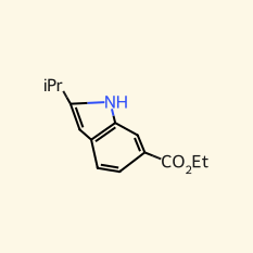 CCOC(=O)c1ccc2cc(C(C)C)[nH]c2c1